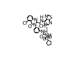 CC(Nc1ncnc2scnc12)c1nc2cccc(Cl)c2c(=O)n1-c1cccc(NC(=O)NS(=O)(=O)C2CCCC2)c1